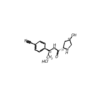 C[C@H](NC(=O)[C@@H]1C[C@@H](O)CN1)c1ccc(C#N)cc1.Cl